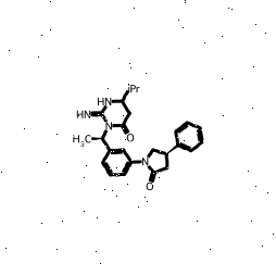 CC(C)C1CC(=O)N([C@H](C)c2cccc(N3C[C@@H](c4ccccc4)CC3=O)c2)C(=N)N1